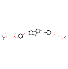 C=C(C)C(=O)OCOC(=O)Oc1ccc(C(=O)Oc2ccc3c(c2)C(C)c2cc(OC(=O)c4ccc(OC(=O)OCOC(=O)C(=C)C)cc4)ccc2-3)cc1